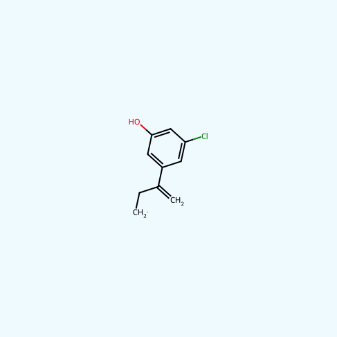 [CH2]CC(=C)c1cc(O)cc(Cl)c1